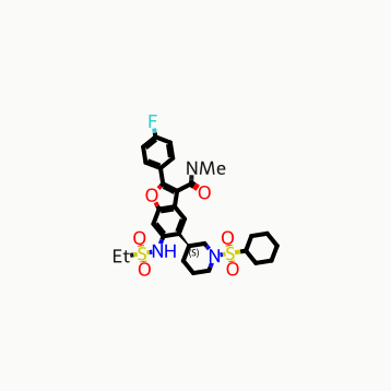 CCS(=O)(=O)Nc1cc2oc(-c3ccc(F)cc3)c(C(=O)NC)c2cc1[C@@H]1CCCN(S(=O)(=O)C2CCCCC2)C1